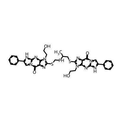 CC(CSc1nc2c(=O)n3cc(-c4ccccc4)[nH]c3nc2n1CCO)PCSc1nc2c(=O)n3cc(-c4ccccc4)[nH]c3nc2n1CCO